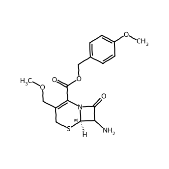 COCC1=C(C(=O)OCc2ccc(OC)cc2)N2C(=O)C(N)[C@H]2SC1